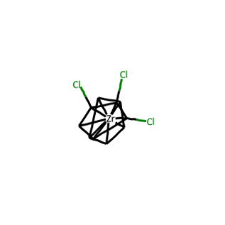 Cl[C]12[CH]3[CH]4[C]5(Cl)[C]1(Cl)[Zr]34251678[CH]2[CH]1[CH]6[CH]7[CH]28